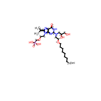 CCCCCCCCCCCCCCCCCCOCCN(CC(O)CO)C1N=c2c(nc(=C(C)C)n2CCOCP(=O)(O)O)C(=O)N1